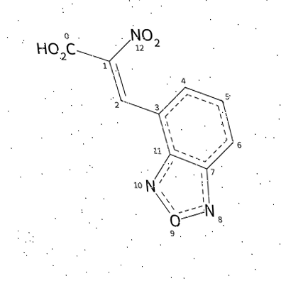 O=C(O)C(=Cc1cccc2nonc12)[N+](=O)[O-]